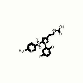 Cc1ccc(S(=O)(=O)c2cc(CCNC(=O)O)nn2-c2cc(F)ccc2Cl)cn1